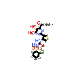 COC(=O)c1nc(-c2cscc2NC(=O)NS(=O)(=O)c2ccccc2Cl)nc(O)c1O